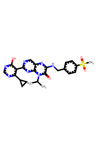 CC(C)n1c(=O)c(NCc2ccc(S(C)(=O)=O)cc2)nc2cnc(-c3c(O)ncnc3C3CC3)nc21